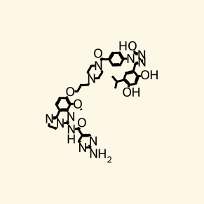 COc1c(OCCCN2CCN(C(=O)c3ccc(-n4c(O)nnc4-c4cc(C(C)C)c(O)cc4O)cc3)CC2)ccc2c1N=C(NC(=O)c1cnc(N)nc1)N1CCN=C21